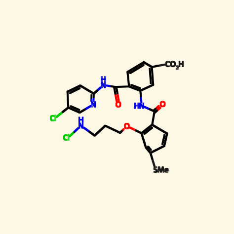 CSc1ccc(C(=O)Nc2cc(C(=O)O)ccc2C(=O)Nc2ccc(Cl)cn2)c(OCCCNCl)c1